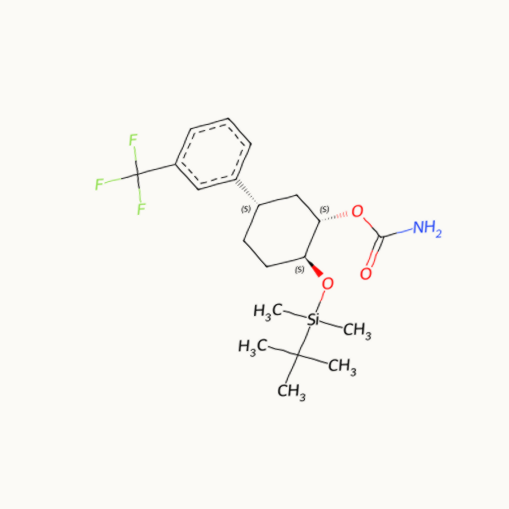 CC(C)(C)[Si](C)(C)O[C@H]1CC[C@H](c2cccc(C(F)(F)F)c2)C[C@@H]1OC(N)=O